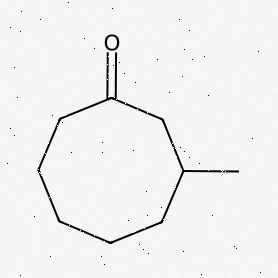 CC1CCCCCC(=O)C1